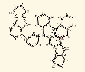 c1cc(-c2cccc3c2sc2ccccc23)cc(N(c2ccc3sc4ccccc4c3c2)c2ccccc2-c2cccc3ccccc23)c1